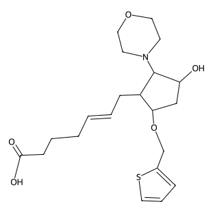 O=C(O)CCCC=CCC1C(OCc2cccs2)CC(O)C1N1CCOCC1